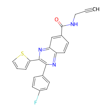 C#CCNC(=O)c1ccc2nc(-c3ccc(F)cc3)c(-c3cccs3)nc2c1